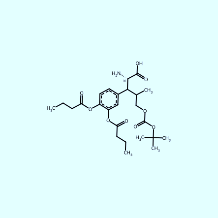 CCCC(=O)Oc1ccc(C(C(C)COC(=O)OC(C)(C)C)[C@H](N)C(=O)O)cc1OC(=O)CCC